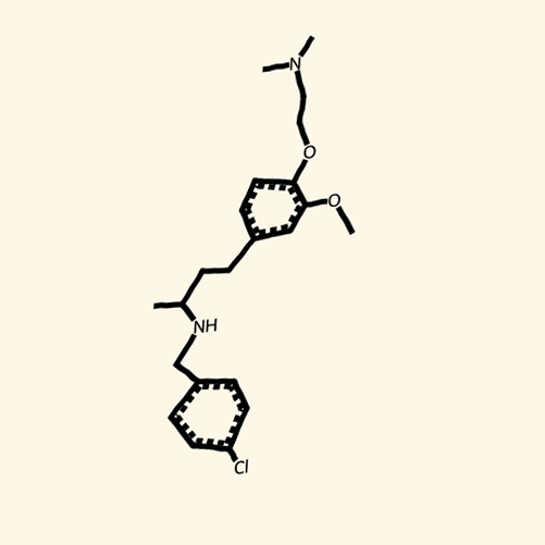 COc1cc(CCC(C)NCc2ccc(Cl)cc2)ccc1OCCN(C)C